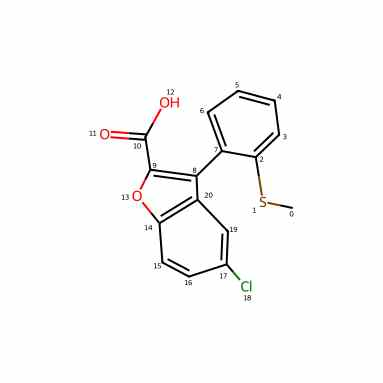 CSc1ccccc1-c1c(C(=O)O)oc2ccc(Cl)cc12